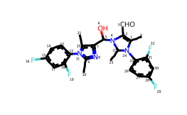 CC1=C(C=O)N(C(O)c2nc(C)n(-c3ccc(F)cc3F)c2C)C(C)N1c1ccc(F)cc1F